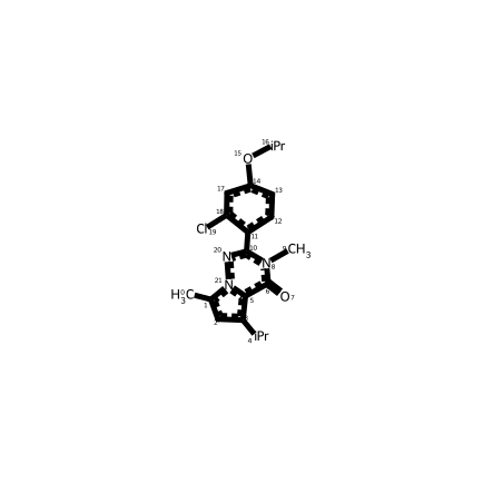 Cc1cc(C(C)C)c2c(=O)n(C)c(-c3ccc(OC(C)C)cc3Cl)nn12